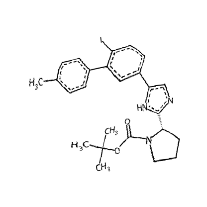 Cc1ccc(-c2cc(-c3cnc([C@@H]4CCCN4C(=O)OC(C)(C)C)[nH]3)ccc2I)cc1